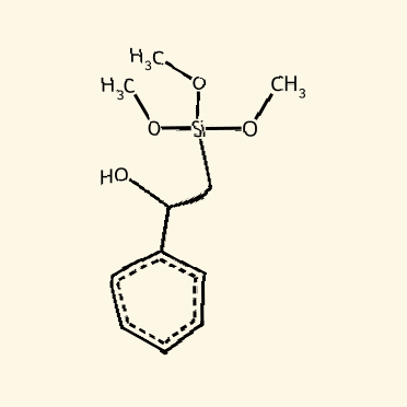 CO[Si](CC(O)c1ccccc1)(OC)OC